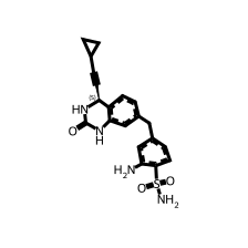 Nc1cc(Cc2ccc3c(c2)NC(=O)N[C@H]3C#CC2CC2)ccc1S(N)(=O)=O